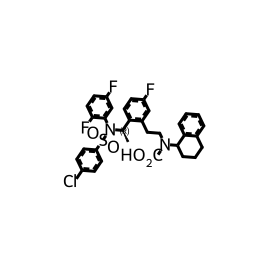 C[C@H](c1ccc(F)cc1CCN(C(=O)O)C1CCCc2ccccc21)N(c1cc(F)ccc1F)S(=O)(=O)c1ccc(Cl)cc1